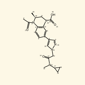 CC(=O)N1c2ccc(-c3cnn(CC(=O)N(C)C4CC4)c3)cc2N(C(=O)O)C[C@@H]1C